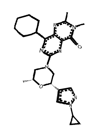 Cc1nc2c(C3CCCCC3)nc(N3C[C@@H](C)O[C@@H](c4cnn(C5CC5)c4)C3)nc2c(=O)n1C